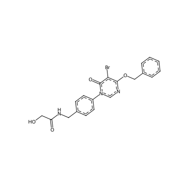 O=C(CO)NCc1ccc(-n2cnc(OCc3ccccc3)c(Br)c2=O)cc1